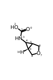 O=C(O)NC1C2COC[C@@H]21